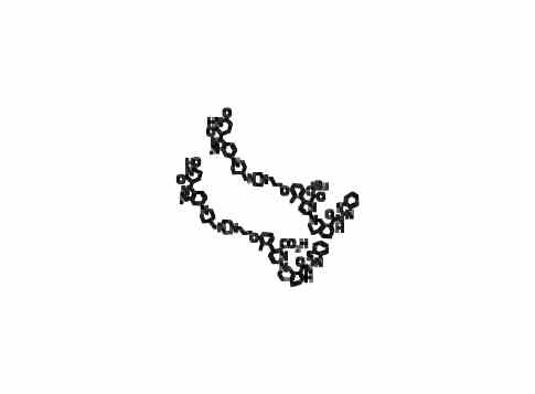 Cc1c(OCCCN2CCN(CC3CCN(c4ccc5c(C6CCC(=O)NC6=O)nn(C)c5c4)CC3)CC2)cccc1-c1ccc(N2CCc3cccc(C(=O)Nc4nc5ccccc5s4)c3C2)nc1C(=O)O.Cc1c(OCCCN2CCN(CC3CCN(c4ccc5c(C6CCC(=O)NC6=O)nn(C)c5c4)CC3)CC2)cccc1-c1ccc(N2CCc3cccc(C(=O)Nc4nc5ccccc5s4)c3C2)nc1C(=O)OC(C)(C)C